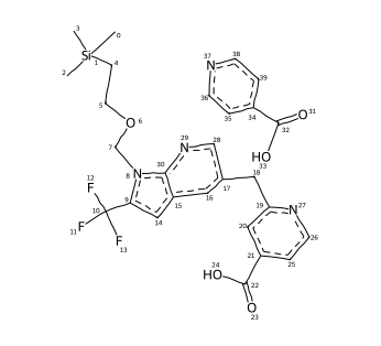 C[Si](C)(C)CCOCn1c(C(F)(F)F)cc2cc(Cc3cc(C(=O)O)ccn3)cnc21.O=C(O)c1ccncc1